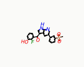 CS(=O)(=O)c1cccc(-c2cnc3[nH]cc(C(=O)c4cccc(O)c4F)c3c2)c1